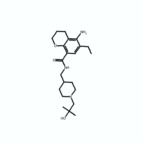 CCc1cc(C(=O)NCC2CCN(CC(C)(C)O)CC2)c2c(c1N)CCCO2